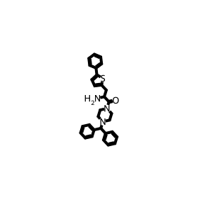 NC(Cc1ccc(-c2ccccc2)s1)C(=O)N1CCN(C(c2ccccc2)c2ccccc2)CC1